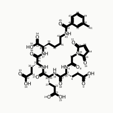 O=C(O)CC[C@@H](NC(=O)CN1C(=O)C=CC1=O)C(=O)N[C@H](CCC(=O)O)C(=O)N[C@H](CCC(=O)O)C(=O)N[C@H](CCCCNC(=O)c1cccc(I)c1)C(=O)O